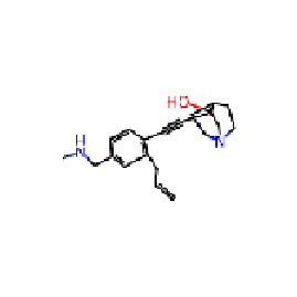 C=CCc1cc(CNC)ccc1C#CC1(O)CN2CCC1CC2